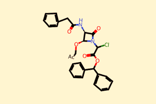 CC(=O)CO[C@H]1[C@@H](NC(=O)Cc2ccccc2)C(=O)N1C(Cl)C(=O)OC(c1ccccc1)c1ccccc1